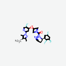 Cc1nn(-c2cc(OC3CN(C(=O)N4N=CC[C@@H]4c4cc(F)cc(F)c4F)C3)c(F)cn2)c(C)c1C(=O)O